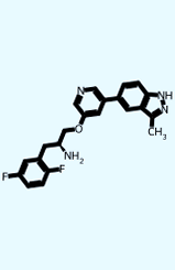 Cc1n[nH]c2ccc(-c3cncc(OC[C@@H](N)Cc4cc(F)ccc4F)c3)cc12